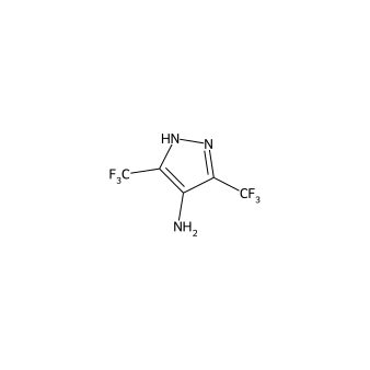 Nc1c(C(F)(F)F)n[nH]c1C(F)(F)F